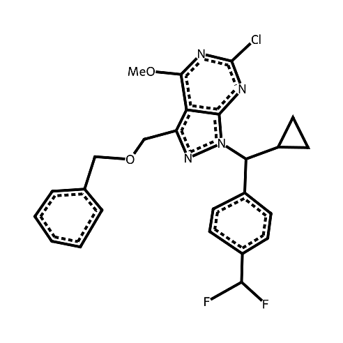 COc1nc(Cl)nc2c1c(COCc1ccccc1)nn2C(c1ccc(C(F)F)cc1)C1CC1